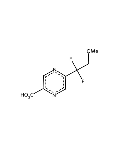 COCC(F)(F)c1cnc(C(=O)O)cn1